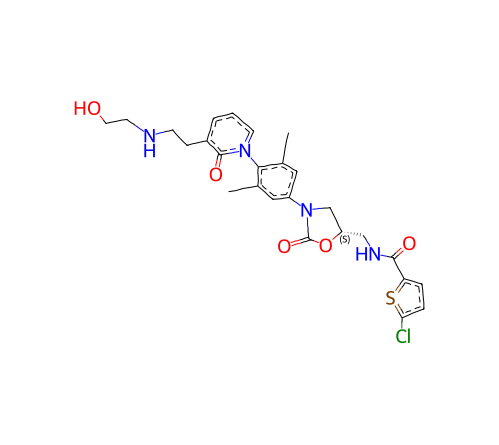 Cc1cc(N2C[C@H](CNC(=O)c3ccc(Cl)s3)OC2=O)cc(C)c1-n1cccc(CCNCCO)c1=O